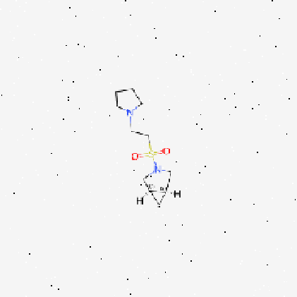 O=S(=O)(CCN1CCCC1)N1C[C@H]2[CH][C@H]2C1